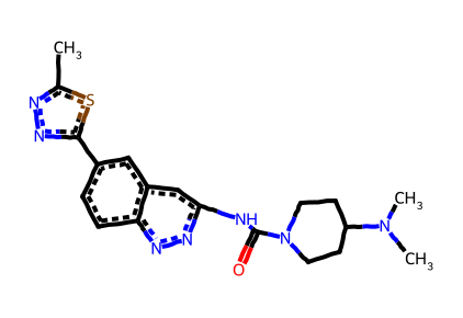 Cc1nnc(-c2ccc3nnc(NC(=O)N4CCC(N(C)C)CC4)cc3c2)s1